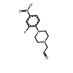 O=CCN1CCN(c2ccc([N+](=O)[O-])cc2F)CC1